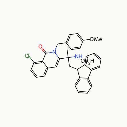 COc1ccc(Cn2c(C(C)(CC3c4ccccc4-c4ccccc43)NC(=O)O)cc3cccc(Cl)c3c2=O)cc1